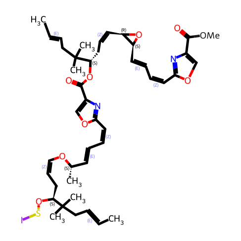 C/C=C/CC(C)(C)[C@H](C/C=C\O[C@@H](C)/C=C/C=C\c1nc(C(=O)O[C@@H](C/C=C\[C@H]2O[C@H]2/C=C/C=C\c2nc(C(=O)OC)co2)C(C)(C)C/C=C/C)co1)OSI